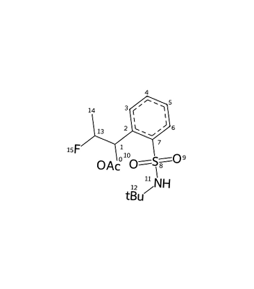 CC(=O)OC(c1ccccc1S(=O)(=O)NC(C)(C)C)C(C)F